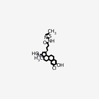 Cc1cnc(NC(=O)CCC[C@@H]2C/C(=N\O)[C@@]3(C)CCC4c5cc(Cl)c(O)cc5CCC4C23)s1